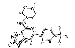 CN1CCC(Nc2nc(-c3ccc(C(C)(C)C)cc3)nc3cc(=O)[nH]n23)CC1